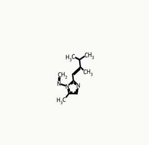 C=Nn1c(C)cnc1/C=C(\C)C(C)C